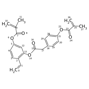 C=Cc1ccc(OC(=O)C(=C)C)cc1OC(=O)Cc1ccc(OC(=O)C(=C)C)cc1